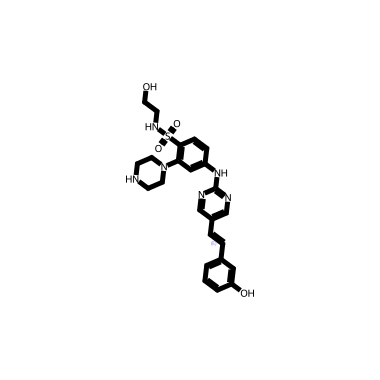 O=S(=O)(NCCO)c1ccc(Nc2ncc(/C=C/c3cccc(O)c3)cn2)cc1N1CCNCC1